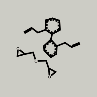 C(OCC1CO1)C1CO1.C=CCc1ccccc1-c1ccccc1CC=C